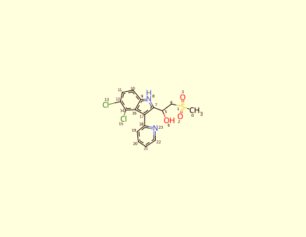 CS(=O)(=O)CC(O)c1[nH]c2ccc(Cl)c(Cl)c2c1-c1ccccn1